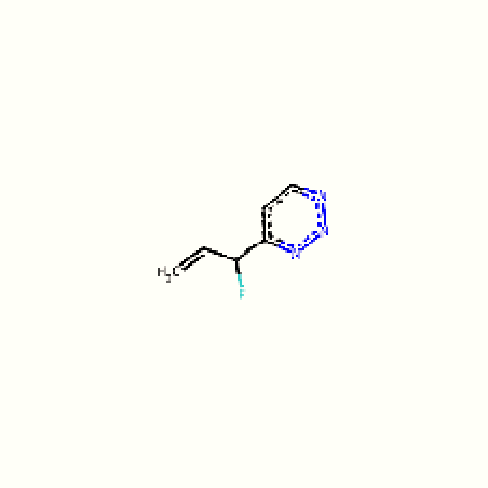 C=CC(F)c1ccnnn1